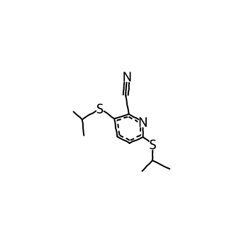 CC(C)Sc1ccc(SC(C)C)c(C#N)n1